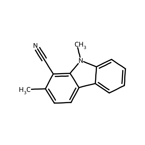 Cc1ccc2c3ccccc3n(C)c2c1C#N